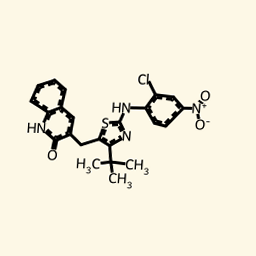 CC(C)(C)c1nc(Nc2ccc([N+](=O)[O-])cc2Cl)sc1Cc1cc2ccccc2[nH]c1=O